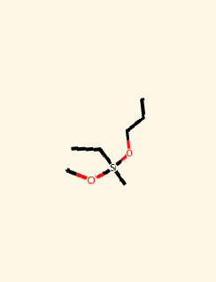 CCCO[Si](C)(CC)OC